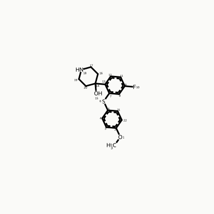 COc1ccc(Sc2cc(F)ccc2C2(O)CCNCC2)cc1